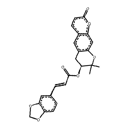 CC1(C)Oc2cc3oc(=O)ccc3cc2C[C@@H]1OC(=O)/C=C/c1ccc2c(c1)OCO2